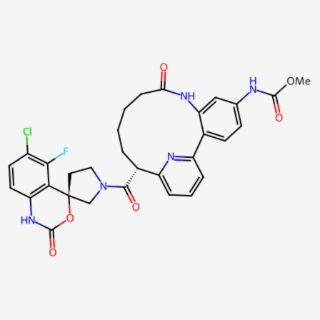 COC(=O)Nc1ccc2c(c1)NC(=O)CCCC[C@@H](C(=O)N1CC[C@@]3(C1)OC(=O)Nc1ccc(Cl)c(F)c13)c1cccc-2n1